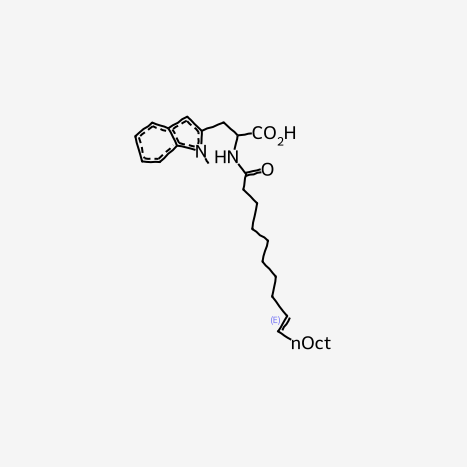 CCCCCCCC/C=C/CCCCCCCC(=O)NC(Cc1cc2ccccc2n1C)C(=O)O